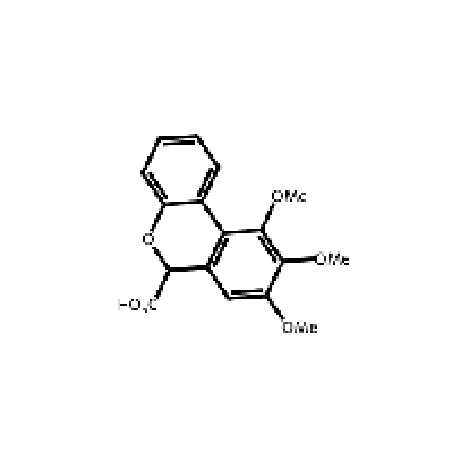 COc1cc2c(c(OC)c1OC)-c1ccccc1OC2C(=O)O